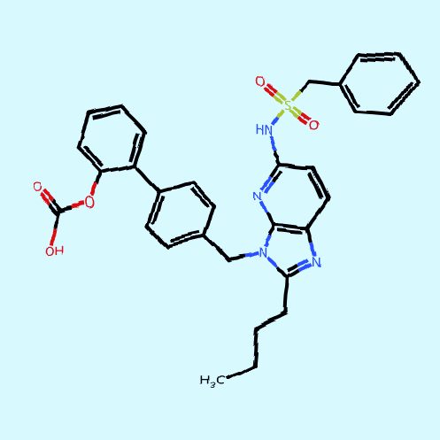 CCCCc1nc2ccc(NS(=O)(=O)Cc3ccccc3)nc2n1Cc1ccc(-c2ccccc2OC(=O)O)cc1